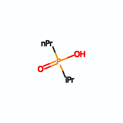 CCCP(=O)(O)C(C)C